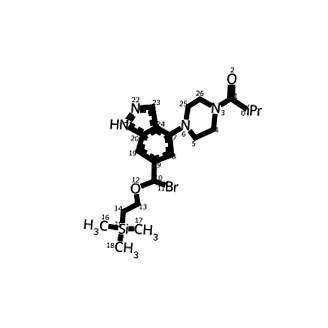 CC(C)C(=O)N1CCN(c2cc(C(Br)OCC[Si](C)(C)C)cc3[nH]ncc23)CC1